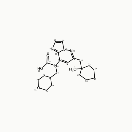 CC1(Oc2cc(N(CC3CCOCC3)C(=O)O)c3nccn3n2)CCCCC1